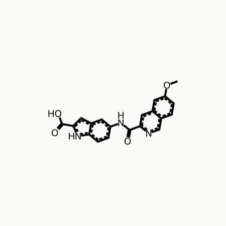 COc1ccc2cnc(C(=O)Nc3ccc4[nH]c(C(=O)O)cc4c3)cc2c1